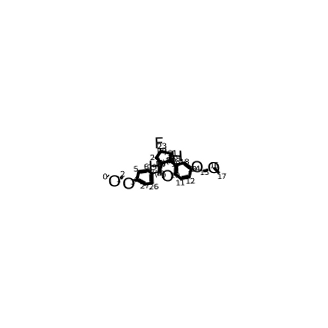 COCOc1ccc([C@@H]2Oc3ccc(OCOC)cc3[C@@H]3C[C@@H](F)C[C@@H]32)cc1